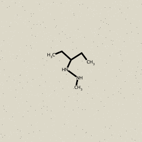 CCC(CC)NNC